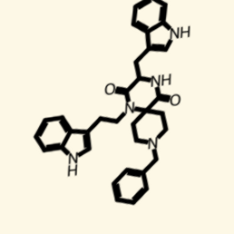 O=C1C(Cc2c[nH]c3ccccc23)NC(=O)C2(CCN(Cc3ccccc3)CC2)N1CCc1c[nH]c2ccccc12